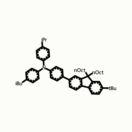 CCCCCCCCC1(CCCCCCCC)c2cc(-c3ccc(N(c4ccc(C(C)C)cc4)c4ccc(C(C)CC)cc4)cc3)ccc2-c2ccc(C(C)(C)C)cc21